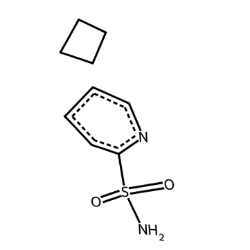 C1CCC1.NS(=O)(=O)c1ccccn1